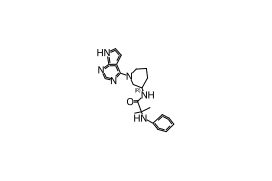 CC(C)(Nc1ccccc1)C(=O)N[C@@H]1CCCN(c2ncnc3[nH]ccc23)C1